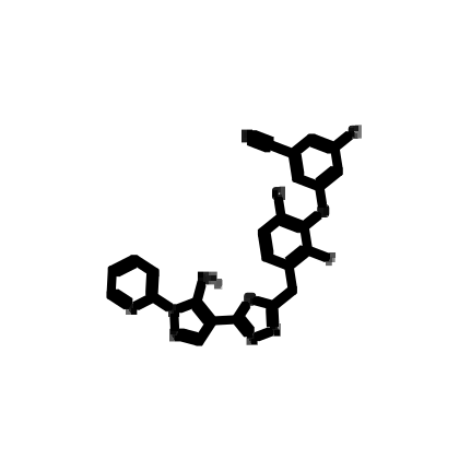 N#Cc1cc(Cl)cc(Oc2c(Cl)ccc(Cc3nnc(-c4cnn(-c5ccccn5)c4N)o3)c2F)c1